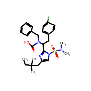 CCC(C)(C)Cc1cn(S(=O)(=O)N(C)C)c(C(Cc2ccc(Br)cc2)N(Cc2ccccc2)C(=O)O)n1